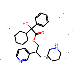 O=C(OCC(C[C@H]1CCCNC1)c1cccnc1)C(O)(c1ccccc1)C1CCCCC1